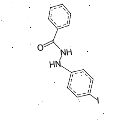 O=C(NNc1ccc(I)cc1)c1ccccc1